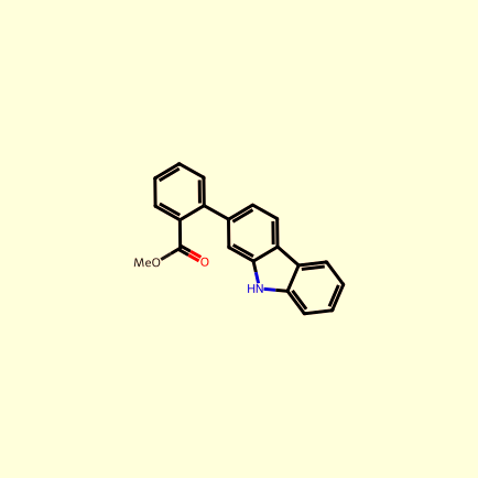 COC(=O)c1ccccc1-c1ccc2c(c1)[nH]c1ccccc12